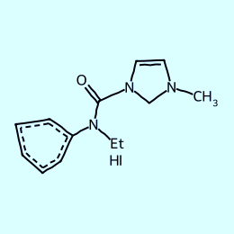 CCN(C(=O)N1C=CN(C)C1)c1ccccc1.I